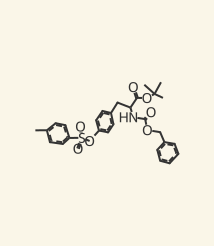 Cc1ccc(S(=O)(=O)Oc2ccc(CC(NC(=O)OCc3ccccc3)C(=O)OC(C)(C)C)cc2)cc1